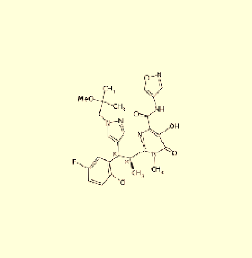 COC(C)(C)Cn1cc([C@H](c2cc(F)ccc2Cl)[C@H](C)c2nc(C(=O)Nc3cnoc3)c(O)c(=O)n2C)cn1